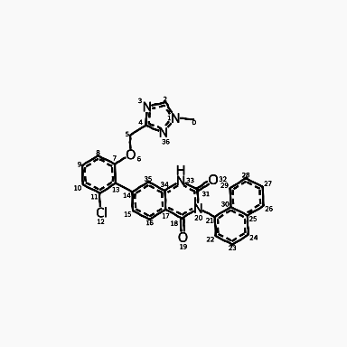 Cn1cnc(COc2cccc(Cl)c2-c2ccc3c(=O)n(-c4cccc5ccccc45)c(=O)[nH]c3c2)n1